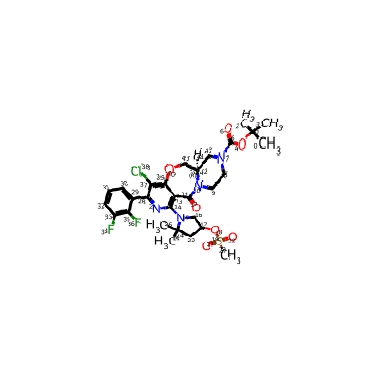 CC(C)(C)OC(=O)N1CCN2C(=O)c3c(N4CC(OS(C)(=O)=O)CC4(C)C)nc(-c4cccc(F)c4F)c(Cl)c3OC[C@H]2C1